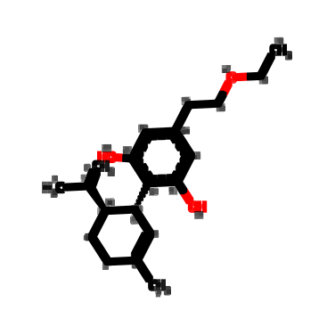 C=C(C)[C@@H]1CCC(C)=C[C@H]1c1c(O)cc(CCOCC)cc1O